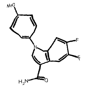 COc1ccc(-n2cc(C(N)=O)c3cc(F)c(F)cc32)cc1